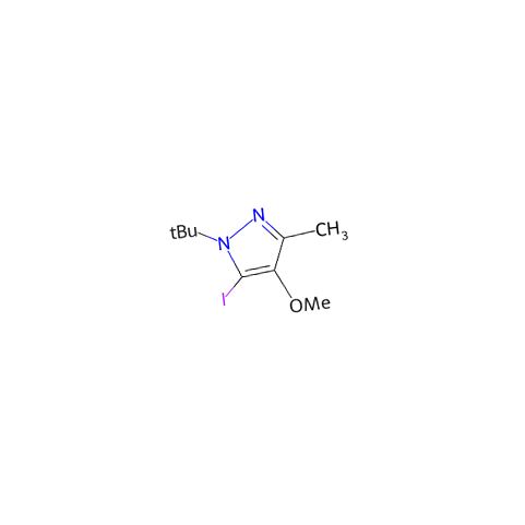 COc1c(C)nn(C(C)(C)C)c1I